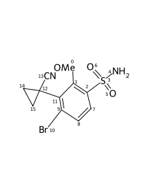 COc1c(S(N)(=O)=O)ccc(Br)c1C1(C#N)CC1